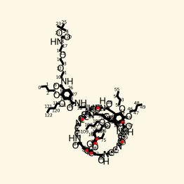 CCCCOc1c(C(=O)NCCOCCOCCNC(=O)OC(C)(C)C)ccc(C(=O)NCCN2CCNC(=O)c3ccc(c(OCCCC)c3OCCCC)C(=O)NCCN3CCNC(=O)c4ccc(c(OCCCC)c4OCCCC)C(=O)NCCN(CCNC(=O)c4ccc(c(OCCCC)c4OCCCC)C(=O)NCC3)CC2)c1OCCCC